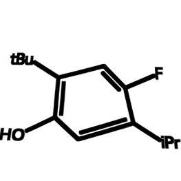 CC(C)c1cc(O)c(C(C)(C)C)cc1F